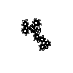 c1ccc(C2N=C(n3c4ccccc4c4ccccc43)N=C(c3ccc4oc5cc(-c6cccc7oc8ccccc8c67)ccc5c4c3)N2)cc1